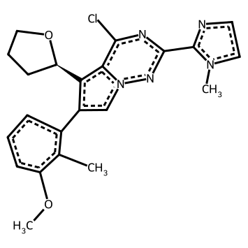 COc1cccc(-c2cn3nc(-c4nccn4C)nc(Cl)c3c2[C@H]2CCCO2)c1C